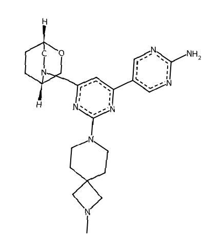 CN1CC2(CCN(c3nc(-c4cnc(N)nc4)cc(N4C[C@@H]5CC[C@H]4CO5)n3)CC2)C1